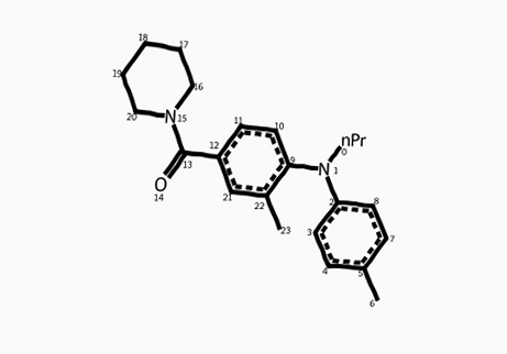 CCCN(c1ccc(C)cc1)c1ccc(C(=O)N2CCCCC2)cc1C